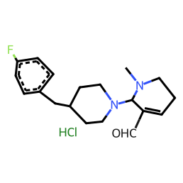 CN1CCC=C(C=O)C1N1CCC(Cc2ccc(F)cc2)CC1.Cl